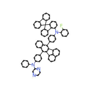 Fc1ccccc1N(c1ccc(-c2c3c(c(-c4ccc(N(c5ccccc5)c5cnccn5)cc4)c4ccccc24)-c2cccc4cccc-3c24)cc1)c1cccc2c1-c1ccccc1C21c2ccccc2-c2ccccc21